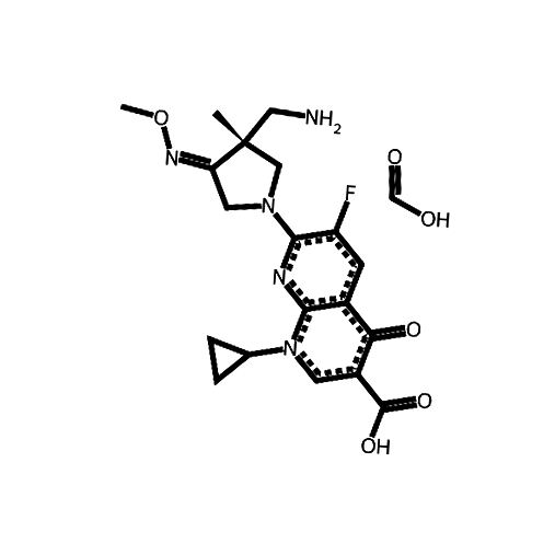 CON=C1CN(c2nc3c(cc2F)c(=O)c(C(=O)O)cn3C2CC2)C[C@@]1(C)CN.O=CO